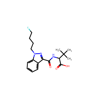 CC(C)(C)C(NC(=O)c1nn(CCCCF)c2ccccc12)C(=O)O